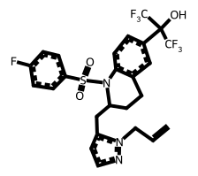 C=CCn1nccc1CC1CCc2cc(C(O)(C(F)(F)F)C(F)(F)F)ccc2N1S(=O)(=O)c1ccc(F)cc1